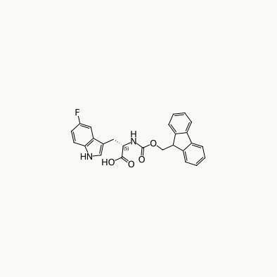 O=C(N[C@@H](Cc1c[nH]c2ccc(F)cc12)C(=O)O)OCC1c2ccccc2-c2ccccc21